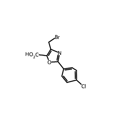 O=C(O)c1oc(-c2ccc(Cl)cc2)nc1CBr